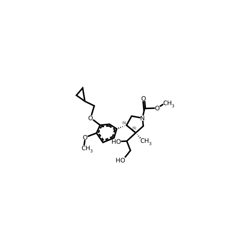 COC(=O)N1C[C@@H](c2ccc(OC)c(OCC3CC3)c2)[C@](C)(C(O)CO)C1